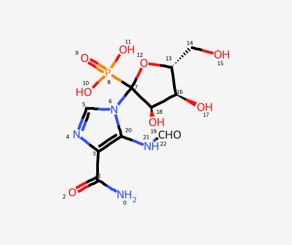 NC(=O)c1ncn(C2(P(=O)(O)O)O[C@H](CO)[C@@H](O)[C@H]2O)c1NC=O